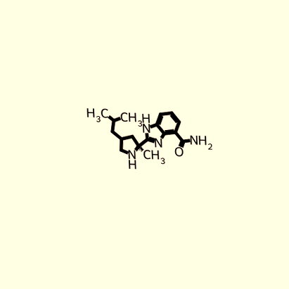 CC(C)CC1CN[C@@](C)(c2nc3c(C(N)=O)cccc3[nH]2)C1